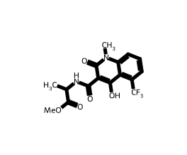 COC(=O)C(C)NC(=O)c1c(O)c2c(C(F)(F)F)cccc2n(C)c1=O